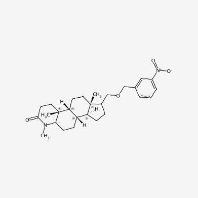 CN1C(=O)CC[C@@]2(C)C1CC[C@@H]1[C@H]2CC[C@]2(C)C(COCc3cccc([N+](=O)[O-])c3)CC[C@@H]12